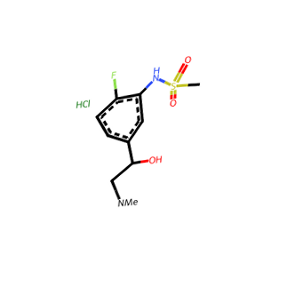 CNCC(O)c1ccc(F)c(NS(C)(=O)=O)c1.Cl